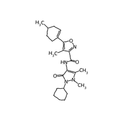 Cc1c(C(=O)Nc2c(C)n(C)n(C3CCCCC3)c2=O)noc1C1=CCC(C)CC1